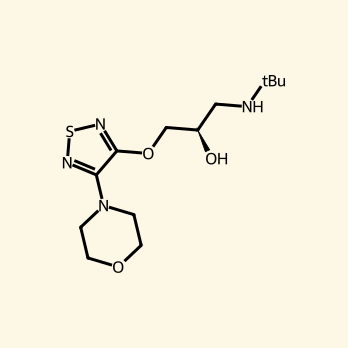 CC(C)(C)NC[C@@H](O)COc1nsnc1N1CCOCC1